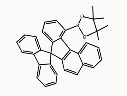 CC1(C)OB(c2cccc3c2-c2c(ccc4ccccc24)C32c3ccccc3-c3ccccc32)OC1(C)C